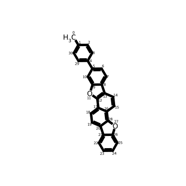 Cc1ccc(-c2ccc3c(c2)oc2c3ccc3c2ccc2c4ccccc4oc23)cc1